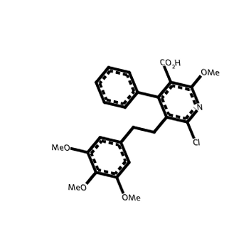 COc1cc(CCc2c(Cl)nc(OC)c(C(=O)O)c2-c2ccccc2)cc(OC)c1OC